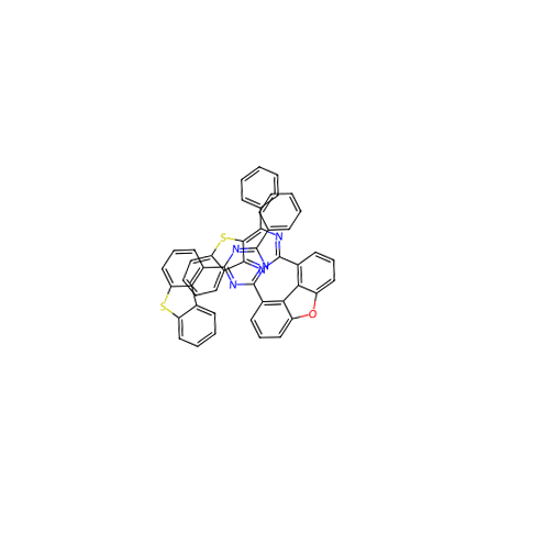 c1ccc(-c2nc(-c3cccc4sc5ccccc5c34)nc(-c3cccc4oc5cccc(-c6nc(-c7ccccc7)c7sc8ccccc8c7n6)c5c34)n2)cc1